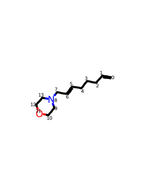 C=CCCC/C=C/CN1CCOCC1